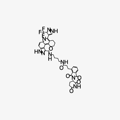 O=C(CCc1cccc2c1C(=O)N(C1CCC(=O)NC1=O)C2=O)NCCCCNC(=O)c1n[nH]c2ccc3nc(-c4c[nH]nc4C(F)(F)F)c4c(c3c12)CCCC4